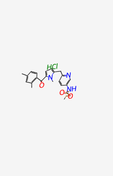 Cc1ccc(C(=O)c2ccc(Cc3ccc(NS(C)(=O)=O)cn3)n2C)c(C)c1.Cl